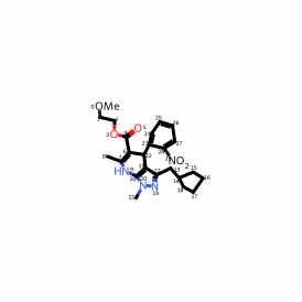 COCCOC(=O)C1=C(C)Nc2c(c(CC3CCCC3)nn2C)C1c1ccccc1[N+](=O)[O-]